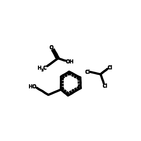 CC(=O)O.ClC(Cl)Cl.OCc1ccccc1